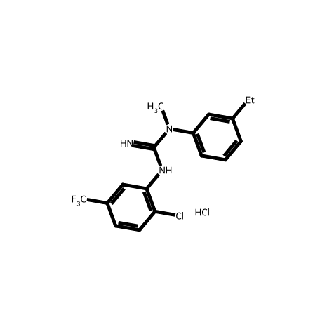 CCc1cccc(N(C)C(=N)Nc2cc(C(F)(F)F)ccc2Cl)c1.Cl